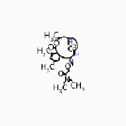 CCN(CC)C(=O)CO/N=C1/C=C(\C)CC/C=C/C[C@@H](C)OC(=O)c2c(C)cc(C)cc2C1